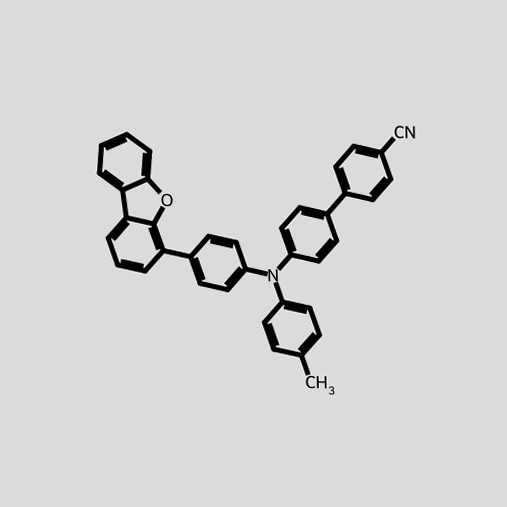 Cc1ccc(N(c2ccc(-c3ccc(C#N)cc3)cc2)c2ccc(-c3cccc4c3oc3ccccc34)cc2)cc1